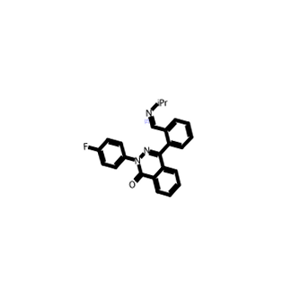 CC(C)/N=C\c1ccccc1-c1nn(-c2ccc(F)cc2)c(=O)c2ccccc12